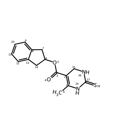 CC1=C(C(=O)OC2Cc3ccccc3C2)CNC(=S)N1